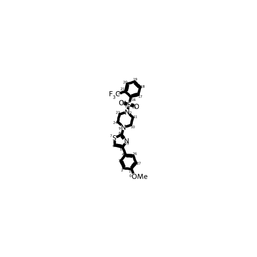 COc1ccc(-c2csc(N3CCN(S(=O)(=O)c4ccccc4C(F)(F)F)CC3)n2)cc1